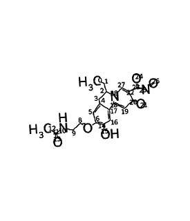 CCC1Cc2cc(OCCNC(C)=O)c(O)cc2-c2cc(=O)c(C(=O)N=O)cn21